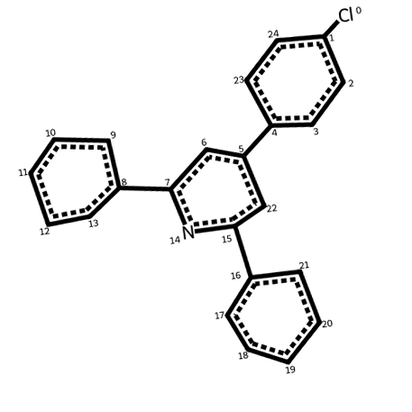 Clc1ccc(-c2cc(-c3ccccc3)nc(-c3ccccc3)c2)cc1